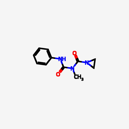 CN(C(=O)Nc1ccccc1)C(=O)N1CC1